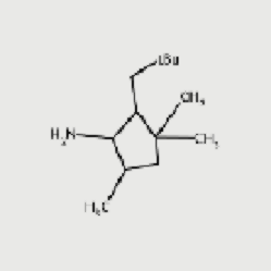 CC1CC(C)(C)C(CC(C)(C)C)C1N